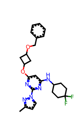 Cc1ccn(-c2nc(NC3CCC(F)(F)CC3)cc(OC3CC(OCc4ccccc4)C3)n2)n1